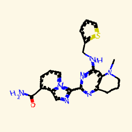 CN1CCCc2nc(-c3ncc4c(C(N)=O)cccn34)nc(NCc3cccs3)c21